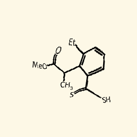 CCc1cccc(C(=S)S)c1C(C)C(=O)OC